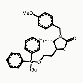 COc1ccc(CN2C(=O)OC(CCO[Si](c3ccccc3)(c3ccccc3)C(C)(C)C)[C@@H]2C)cc1